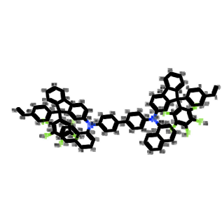 C=Cc1ccc(C2(c3c(F)c(F)c(F)c(F)c3F)c3ccccc3-c3ccc(N(c4ccc(-c5ccc(N(c6ccc7c(c6)C(c6ccc(C=C)cc6)(c6c(F)c(F)c(F)c(F)c6F)c6ccccc6-7)c6cccc7ccccc67)cc5)cc4)c4cccc5ccccc45)cc32)cc1